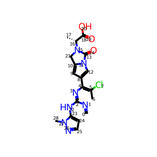 C=N/C(=N\C(=C(/C)Cl)c1cc2n(c1)C(=O)N([C@H](C)C(=O)O)C2)Nc1ccnn1C